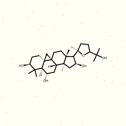 CC(C)(O)C1CC[C@](C)(C2[C@@H](O)C[C@@]3(C)[C@@H]4C[C@H](O)[C@H]5C(C)(C)[C@@H](O)CC[C@@]56C[C@@]46CC[C@]23C)O1